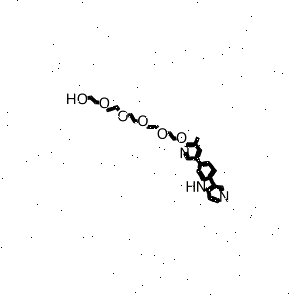 Cc1cc(-c2ccc3c(c2)[nH]c2ccncc23)cnc1OCCOCCOCCOCCOCCO